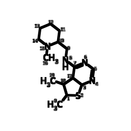 CC1SC2N=CN=C(NCC3CCCCN3C)C2C1C